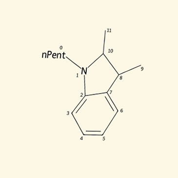 CCCCCN1c2ccccc2C(C)C1C